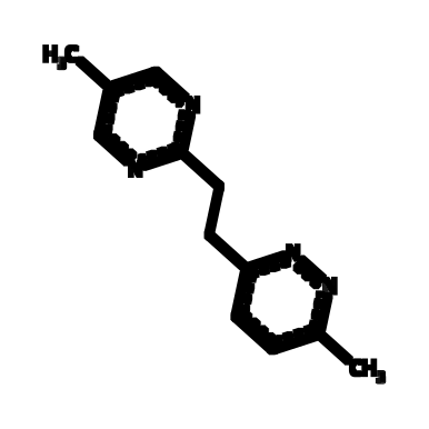 Cc1cnc(CCc2ccc(C)nn2)nc1